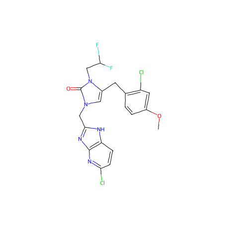 COc1ccc(Cc2cn(Cc3nc4nc(Cl)ccc4[nH]3)c(=O)n2CC(F)F)c(Cl)c1